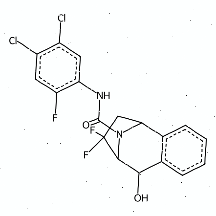 O=C(Nc1cc(Cl)c(Cl)cc1F)N1C2CC(F)(F)C1C(O)c1ccccc12